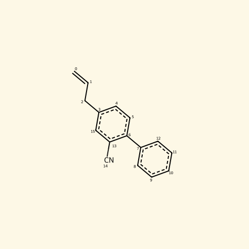 C=CCc1ccc(-c2ccccc2)c(C#N)c1